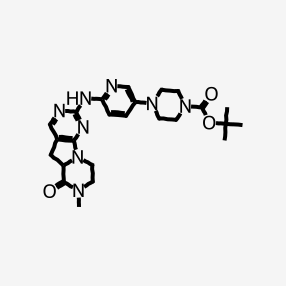 CN1CCN2c3nc(Nc4ccc(N5CCN(C(=O)OC(C)(C)C)CC5)cn4)ncc3CC2C1=O